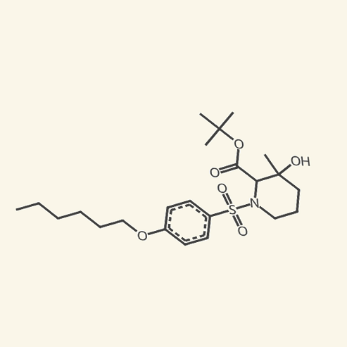 CCCCCCOc1ccc(S(=O)(=O)N2CCCC(C)(O)C2C(=O)OC(C)(C)C)cc1